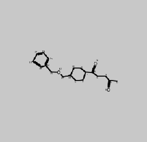 CC(=O)CCC(=O)C1CCC(COCc2ccccc2)CC1